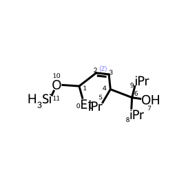 CCC(/C=C\C(C(C)C)C(O)(C(C)C)C(C)C)O[SiH3]